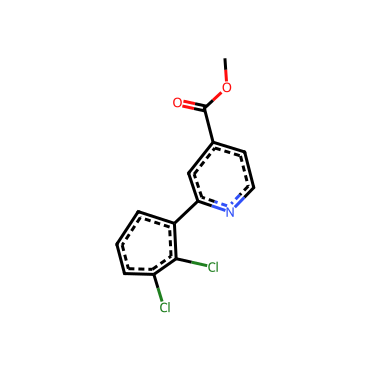 COC(=O)c1ccnc(-c2cccc(Cl)c2Cl)c1